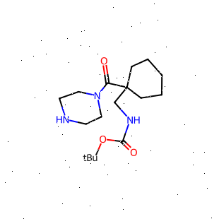 CC(C)(C)OC(=O)NCC1(C(=O)N2CCNCC2)CCCCC1